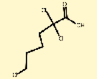 O=C(O)C(Cl)(Cl)CCCCCl